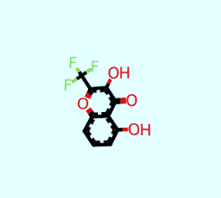 O=c1c(O)c(C(F)(F)F)oc2cccc(O)c12